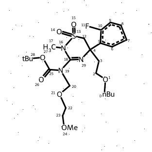 CCCCOCCC1(c2ccccc2F)CS(=O)(=O)N(C)C(N(COCCOC)C(=O)OC(C)(C)C)=N1